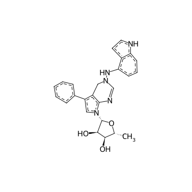 C[C@H]1O[C@@H](n2cc(-c3ccccc3)c3c2N=CN(Nc2cccc4[nH]ccc24)C3)[C@H](O)[C@@H]1O